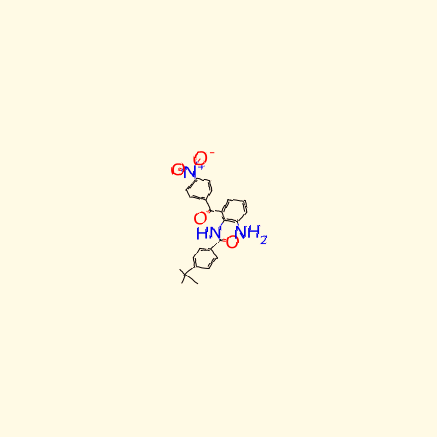 CC(C)(C)c1ccc(C(=O)Nc2c(N)cccc2C(=O)c2ccc([N+](=O)[O-])cc2)cc1